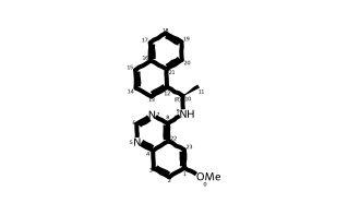 COc1ccc2ncnc(N[C@H](C)c3cccc4ccccc34)c2c1